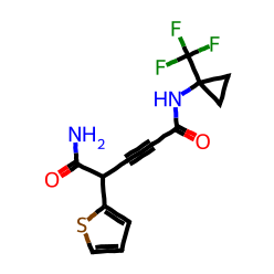 NC(=O)C(C#CC(=O)NC1(C(F)(F)F)CC1)c1cccs1